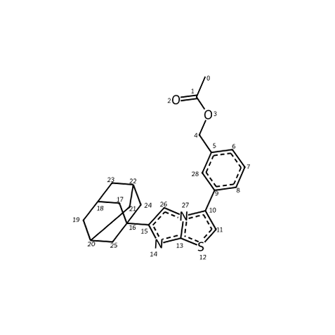 CC(=O)OCc1cccc(-c2csc3nc(C45CC6CC(CC(C6)C4)C5)cn23)c1